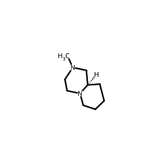 CN1CCN2CCCC[C@@H]2C1